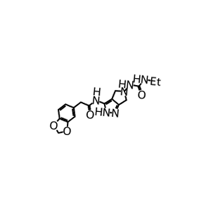 CCNC(=O)NN1Cc2n[nH]c(NC(=O)Cc3ccc4c(c3)OCO4)c2C1